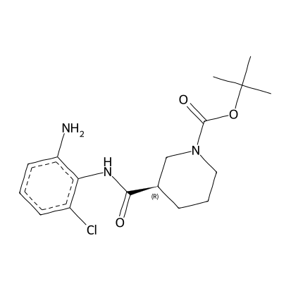 CC(C)(C)OC(=O)N1CCC[C@@H](C(=O)Nc2c(N)cccc2Cl)C1